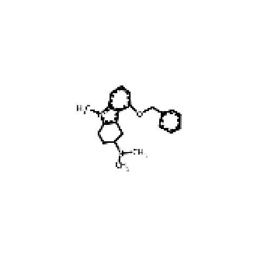 CN(C)C1CCc2c(c3c(OCc4ccccc4)cccc3n2C)C1